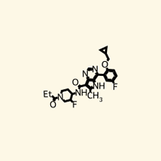 CCC(=O)N1CCC(NC(=O)c2c(C)[nH]c3c(-c4cc(F)ccc4OCC4CC4)ncnc23)C(F)C1